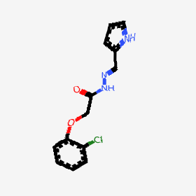 O=C(COc1ccccc1Cl)N/N=C/c1ccc[nH]1